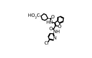 O=C(Nc1ccc(Cl)cn1)c1oc2ccccc2c1NC(=O)[C@H]1CC[C@H](C(=O)O)CC1